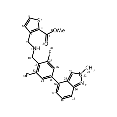 COC(=O)c1sccc1CNCc1c(F)cc(-c2cccc3nn(C)cc23)cc1F